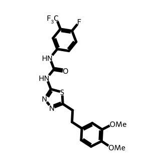 COc1ccc(CCc2nnc(NC(=O)Nc3ccc(F)c(C(F)(F)F)c3)s2)cc1OC